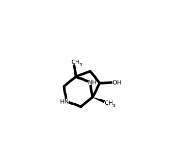 CC12CNC[C@](C)(N1)C(O)C2